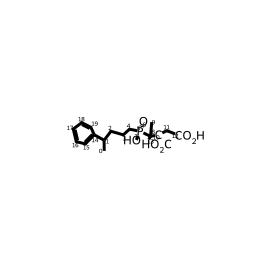 CC(CCCP(=O)(O)C(C)(CCC(=O)O)C(=O)O)c1ccccc1